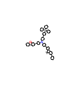 CC1(C)c2cc(-c3ccccc3)ccc2-c2ccc(-c3ccc(N(c4ccc(-c5ccc([Si](c6ccccc6)(c6ccccc6)c6ccccc6)cc5)cc4)c4ccc(-c5ccc6c(c5)oc5ccccc56)cc4)cc3)cc21